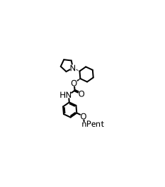 CCCCCOc1cccc(NC(=O)O[C@@H]2CCCC[C@H]2N2CCCC2)c1